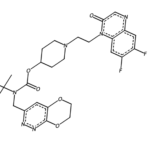 CC(C)(C)N(Cc1cc2c(nn1)OCCO2)C(=O)OC1CCN(CCn2c(=O)cnc3cc(F)c(F)cc32)CC1